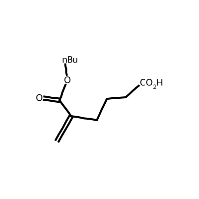 C=C(CCCC(=O)O)C(=O)OCCCC